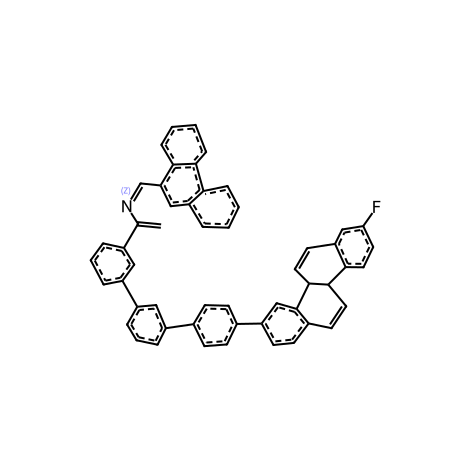 C=C(/N=C\c1cc2ccccc2c2ccccc12)c1cccc(-c2cccc(-c3ccc(-c4ccc5c(c4)C4C=Cc6cc(F)ccc6C4C=C5)cc3)c2)c1